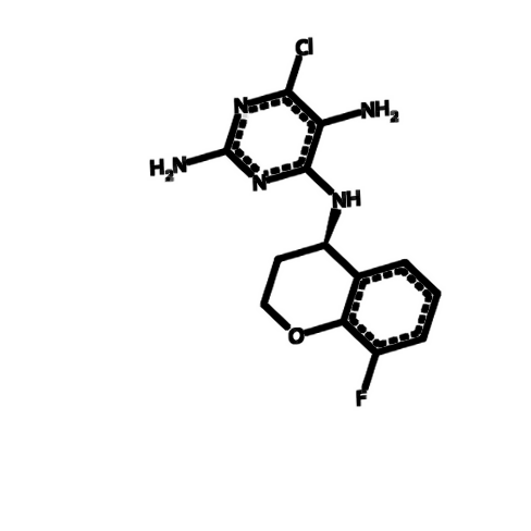 Nc1nc(Cl)c(N)c(N[C@@H]2CCOc3c(F)cccc32)n1